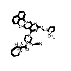 Cc1cccc2cccc(N3CCc4c(nc(OC[C@@H]5CCCN5C)nc4N4CCN(C(=O)[C@]5(C)C=CC=CC=N5)[C@@H](CC#N)C4)C3)c12